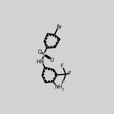 Nc1ccc(NS(=O)(=O)c2ccc(Br)cc2)cc1C(F)(F)F